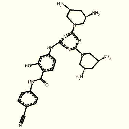 N#Cc1ccc(NC(=O)c2ccc(Nc3nc(N4C[C@H](N)C[C@H](N)C4)nc(N4C[C@H](N)C[C@H](N)C4)n3)cc2O)cc1